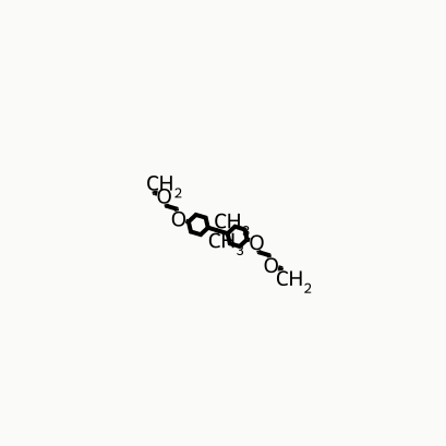 C=COCCOC1CCC(C(C)(C)C2CCC(OCCOC=C)CC2)CC1